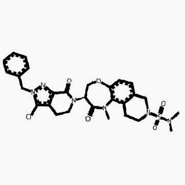 CN1C(=O)[C@@H](N2CCc3c(nn(Cc4ccccc4)c3Cl)C2=O)COc2ccc3c(c21)CCN(S(=O)(=O)N(C)C)C3